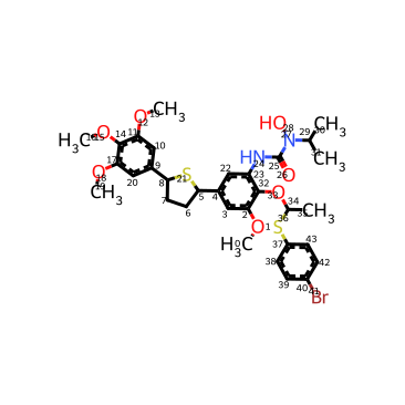 COc1cc(C2CCC(c3cc(OC)c(OC)c(OC)c3)S2)cc(NC(=O)N(O)C(C)C)c1OC(C)Sc1ccc(Br)cc1